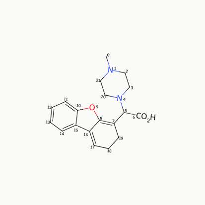 CN1CCN(C(C(=O)O)C2=c3oc4ccccc4c3=CCC2)CC1